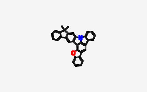 CC1(C)c2ccccc2-c2cc3c4c5oc6ccccc6c5cc5c6ccccc6n(c3cc21)c54